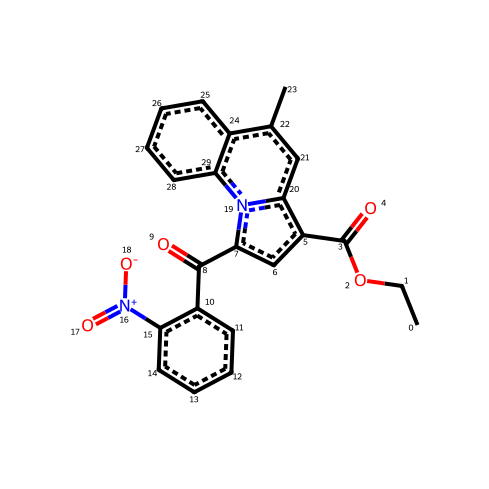 CCOC(=O)c1cc(C(=O)c2ccccc2[N+](=O)[O-])n2c1cc(C)c1ccccc12